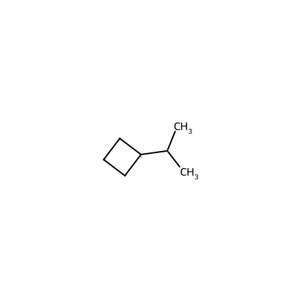 CC(C)[C]1CCC1